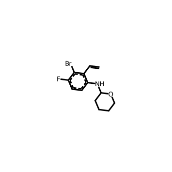 C=Cc1c(NC2CCCCO2)ccc(F)c1Br